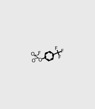 O=S(=O)(F)Oc1ccc(C(F)(F)F)cc1